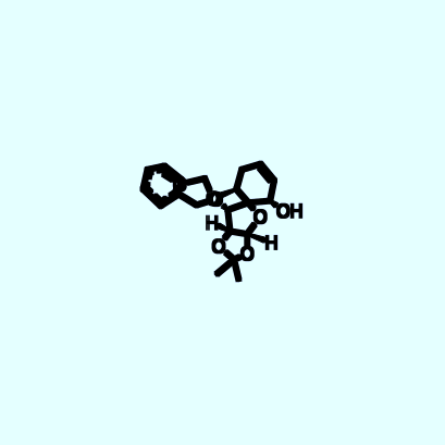 COCO[C@H]1CC=C[C@@H](O)C12O[C@@H]1OC(C)(C)O[C@@H]1[C@H]2OCc1ccccc1